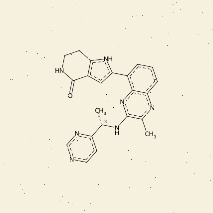 Cc1nc2cccc(-c3cc4c([nH]3)CCNC4=O)c2nc1N[C@@H](C)c1ccncn1